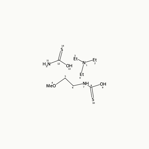 CCN(CC)CC.COCCNC(O)=S.NC(O)=S